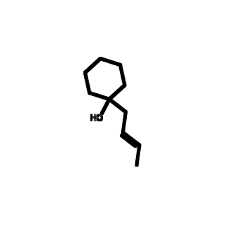 CC=CCC1(O)CCCCC1